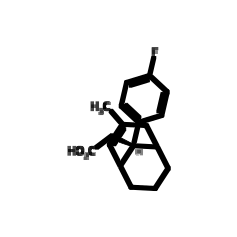 CC1=CC2CCCC(C1)[C@@]2(CC(=O)O)c1ccc(F)cc1